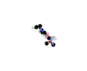 O=C(NS(=O)(=O)c1ccc(N[C@H](CCN2CCCCC2)CSc2ccccc2)c([N+](=O)[O-])c1)c1ccc2c(c1)CC[C@@H]1CN(Cc3ccccc3-c3ccc(Cl)cc3)CCN21